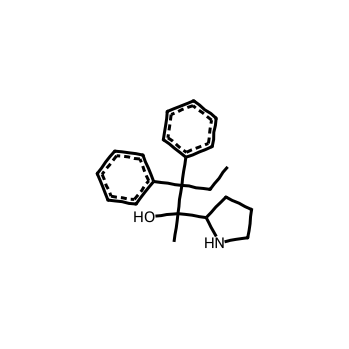 CCC(c1ccccc1)(c1ccccc1)C(C)(O)C1CCCN1